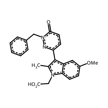 COc1ccc2c(c1)c(-c1ccc(=O)n(Cc3ccccc3)n1)c(C)n2CC(=O)O